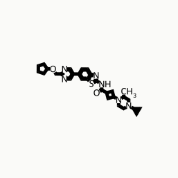 CC1CN(C2CC2)CCN1C1CC(C(=O)Nc2nc3ccc(-c4cnc(COC5CCCC5)nc4)cc3s2)C1